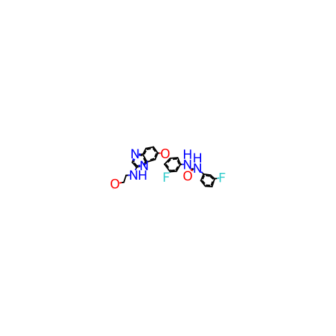 COCCNc1cnc2ccc(Oc3cc(F)cc(NC(=O)Nc4cccc(F)c4)c3)cc2n1